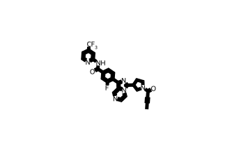 CC#CC(=O)N1CCC(c2nc(-c3ccc(C(=O)Nc4cc(C(F)(F)F)ccn4)cc3F)c3cnccn23)C1